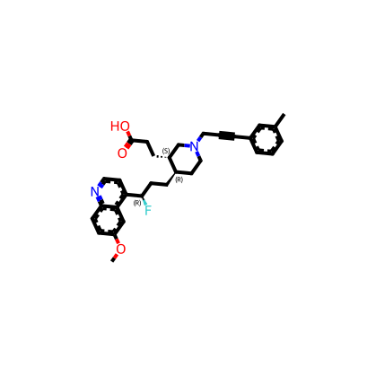 COc1ccc2nccc([C@H](F)CC[C@@H]3CCN(CC#Cc4cccc(C)c4)C[C@H]3CCC(=O)O)c2c1